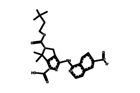 CC(C)(C)CCOC(=O)N1Cc2c(Nc3nccc4cc([N+](=O)[O-])ccc34)nn(C(=O)O)c2C1(C)C